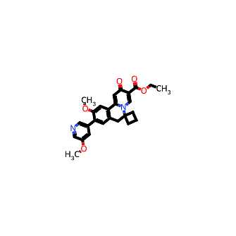 CCOC(=O)c1cn2c(cc1=O)-c1cc(OC)c(-c3cncc(OC)c3)cc1CC21CCC1